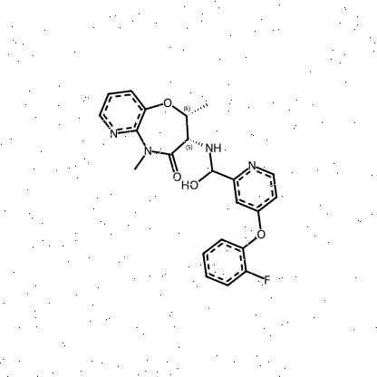 C[C@H]1Oc2cccnc2N(C)C(=O)[C@H]1NC(O)c1cc(Oc2ccccc2F)ccn1